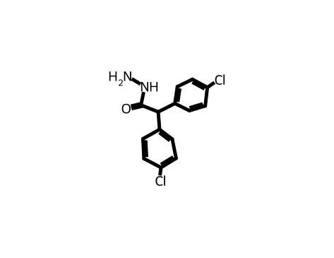 NNC(=O)C(c1ccc(Cl)cc1)c1ccc(Cl)cc1